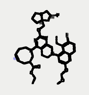 CCOC(=O)C1C/C=C\CCN(c2nc(OC[C@@]34CCCN3C[C@H](F)C4)nc3c2CCN(c2cc(OCOC)cc4ccc(F)c(CC)c24)C3)C1